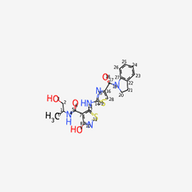 CC(CO)NC(=O)c1c(O)nsc1Nc1nc(C(=O)N2CCc3ccccc32)cs1